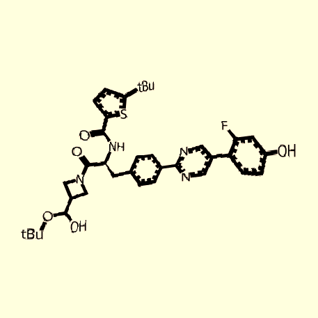 CC(C)(C)OC(O)C1CN(C(=O)[C@H](Cc2ccc(-c3ncc(-c4ccc(O)cc4F)cn3)cc2)NC(=O)c2ccc(C(C)(C)C)s2)C1